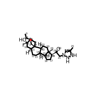 CCOC[C@]12CC[C@@](C)(O)C[C@@H]1CC[C@H]1[C@@H]3CC[C@H](C(=O)CN4N=C(C)NN4)[C@@]3(C)CC[C@@H]12